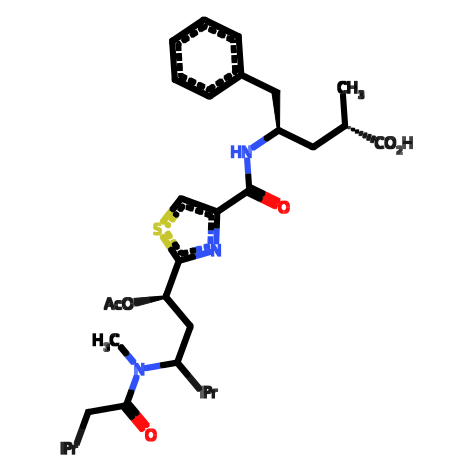 CC(=O)O[C@H](CC(C(C)C)N(C)C(=O)CC(C)C)c1nc(C(=O)N[C@@H](Cc2ccccc2)C[C@H](C)C(=O)O)cs1